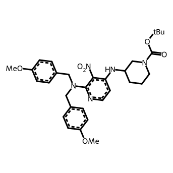 COc1ccc(CN(Cc2ccc(OC)cc2)c2nccc(NC3CCCN(C(=O)OC(C)(C)C)C3)c2[N+](=O)[O-])cc1